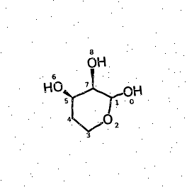 OC1OCC[C@@H](O)[C@H]1O